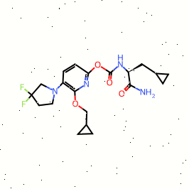 NC(=O)[C@H](CC1CC1)NC(=O)Oc1ccc(N2CCC(F)(F)C2)c(OCC2CC2)n1